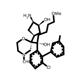 COCCCC[C@@](O)(c1cccc(Cl)c1-c1cccc(C)c1)[C@@]1([C@H]2C[C@@H](N)[C@@H](O)C2)CN(C=O)CCO1